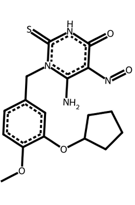 COc1ccc(Cn2c(N)c(N=O)c(=O)[nH]c2=S)cc1OC1CCCC1